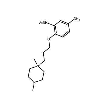 CC(=O)Nc1cc(N)ccc1OCCC[N+]1(C)CCN(C)CC1